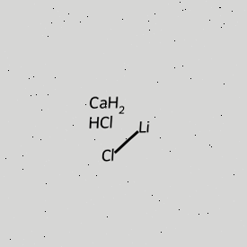 Cl.[CaH2].[Li][Cl]